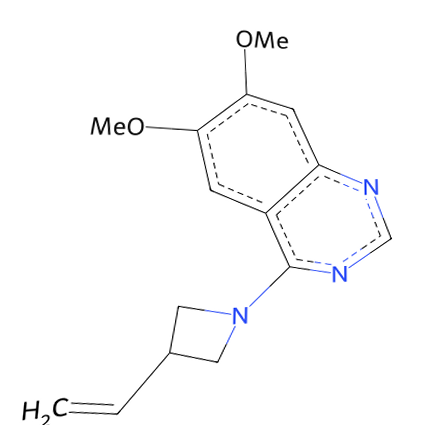 C=CC1CN(c2ncnc3cc(OC)c(OC)cc23)C1